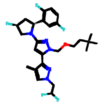 Cc1cn(CC(F)F)nc1-c1cc(N2C[C@@H](F)C[C@@H]2c2cc(F)ccc2F)nn1COCC[Si](C)(C)C